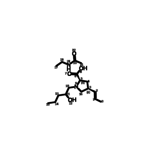 CC=C[C@@H]1C[C@H](C(=O)O)N(CC(O)CCC)C1.CCNC(C)=O